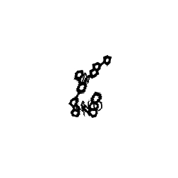 c1ccc(-c2ccc3cc(-n4c5ccccc5c5cc(-c6ccc7c8ccccc8n(-c8nc9c%10c(cccc%10n8)Oc8ccccc8-9)c7c6)ccc54)ccc3c2)cc1